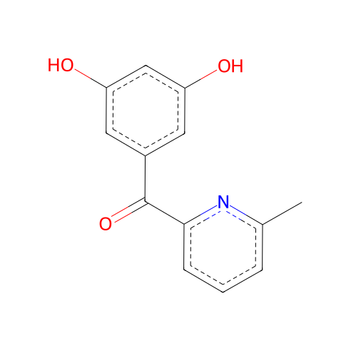 Cc1cccc(C(=O)c2cc(O)cc(O)c2)n1